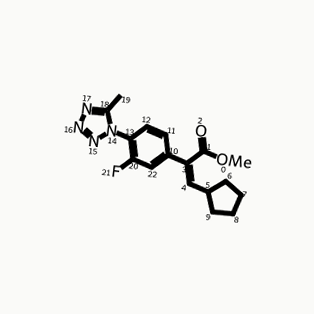 COC(=O)C(=CC1CCCC1)c1ccc(-n2nnnc2C)c(F)c1